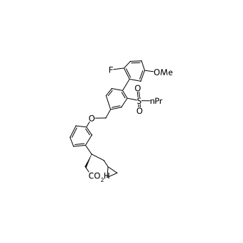 CCCS(=O)(=O)c1cc(COc2cccc([C@H](CC(=O)O)CC3CC3)c2)ccc1-c1cc(OC)ccc1F